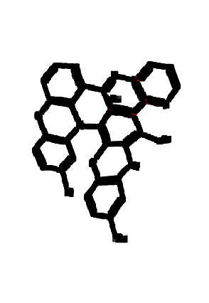 CCCCc1ccc2c(c1)Nc1c(CCCC)c(-c3ncccn3)c(CCCC)c(N3c4cc(CC)ccc4Oc4cccc(-c5ncccn5)c43)c1O2